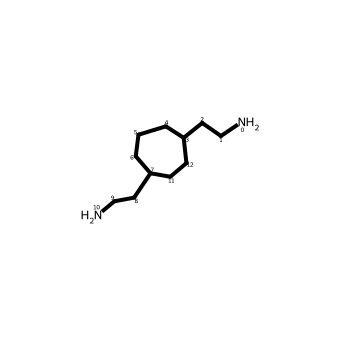 NCCC1CCCC(CCN)CC1